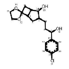 OC(CCC1CC2C(CC23OCCO3)C1O)c1ccc(Cl)cc1